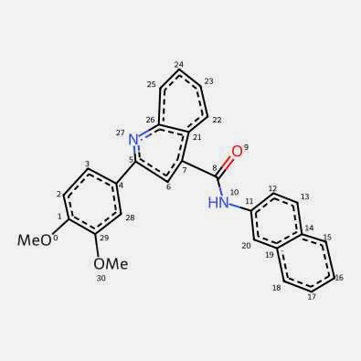 COc1ccc(-c2cc(C(=O)Nc3ccc4ccccc4c3)c3ccccc3n2)cc1OC